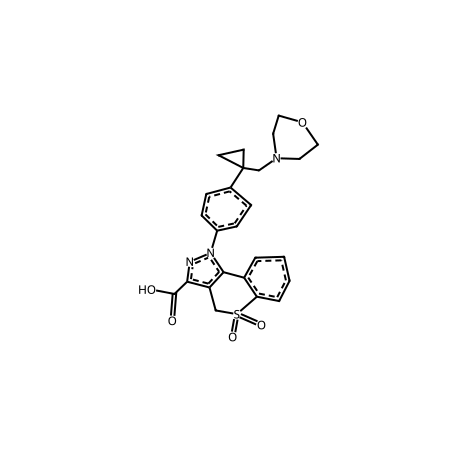 O=C(O)c1nn(-c2ccc(C3(CN4CCOCC4)CC3)cc2)c2c1CS(=O)(=O)c1ccccc1-2